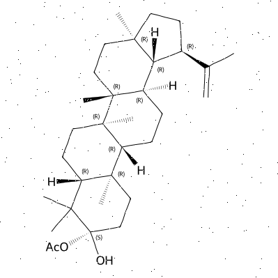 C=C(C)[C@@H]1CC[C@]2(C)CC[C@]3(C)[C@H](CC[C@@H]4[C@@]5(C)CC[C@](O)(OC(C)=O)C(C)(C)[C@@H]5CC[C@]43C)[C@@H]12